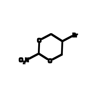 O=[N+]([O-])C1OCC(Br)CO1